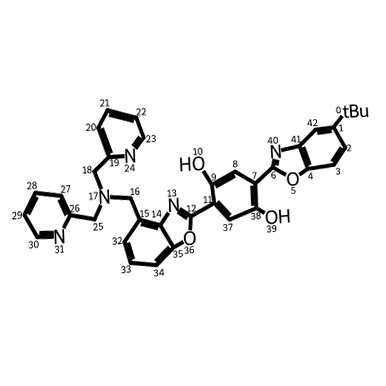 CC(C)(C)c1ccc2oc(-c3cc(O)c(-c4nc5c(CN(Cc6ccccn6)Cc6ccccn6)cccc5o4)cc3O)nc2c1